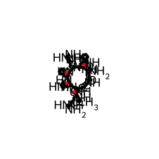 CC(=O)N[C@@H](CCCNC(=N)N)C(=O)N[C@H]1CCCNC(=O)CCC(C(N)=O)NC(=O)[C@H](Cc2c[nH]c3ccccc23)NC(=O)[C@H](CCCNC(=N)N)NC(=O)[C@@H](Cc2ccccc2)NC(=O)[C@H](Cc2c[nH]cn2)NC1=O